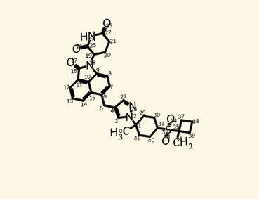 CC1(n2cc(Cc3ccc4c5c(cccc35)C(=O)N4C3CCC(=O)NC3=O)cn2)CCC(S(=O)(=O)C2(C)CCC2)CC1